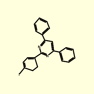 IC1=CC=C(c2nc(-c3ccccc3)cc(-c3ccccc3)n2)CC1